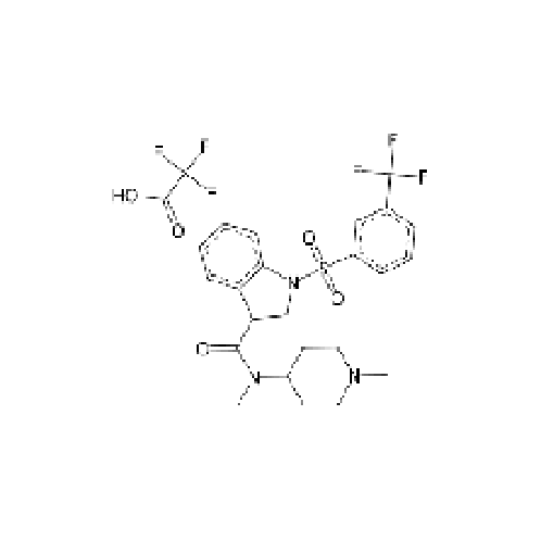 CN1CCC(N(C)C(=O)C2CN(S(=O)(=O)c3cccc(C(F)(F)F)c3)c3ccccc32)CC1.O=C(O)C(F)(F)F